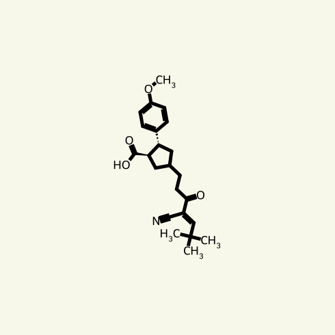 COc1ccc([C@@H]2CC(CCC(=O)/C(C#N)=C/C(C)(C)C)C[C@H]2C(=O)O)cc1